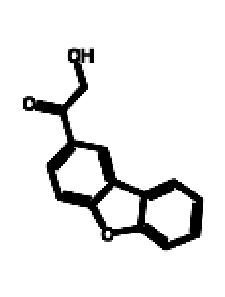 O=C(CO)c1ccc2oc3ccccc3c2c1